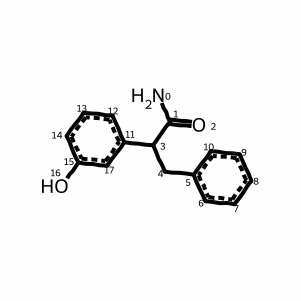 NC(=O)C(Cc1ccccc1)c1cccc(O)c1